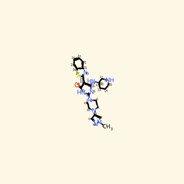 Cn1cc(N2CCN(c3nc(N[C@@H]4CCCNC4)c(-c4nc5ccccc5s4)c(=O)[nH]3)CC2)cn1